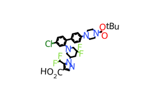 CC(C)(C)OC(=O)N1CCN(c2ccc(-c3ccc(Cl)cc3N3CC(n4ncc(C(=O)O)c4C(F)F)CC(F)(F)C3)cc2)CC1